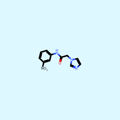 O=C(Cn1ccnc1)Nc1cccc([N+](=O)[O-])c1